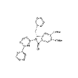 COc1cc2c(cc1OC)[C@@H](Cc1ccccc1)N(c1ccnc(-c3ncccn3)n1)C2=O